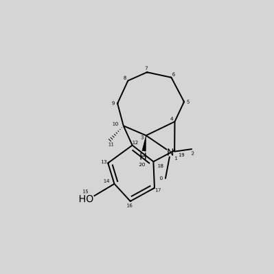 CN(C)[C@H]1C2CCCCC[C@]1(C)c1cc(O)ccc1C2